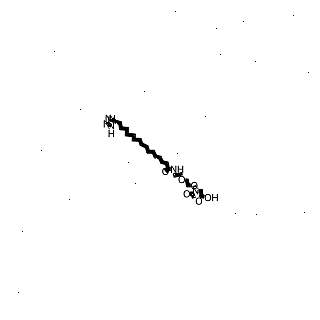 CC(=O)N(CC(=O)O)OCCOCCNC(=O)CCCCCCCCCCCCCCCc1nnn[nH]1